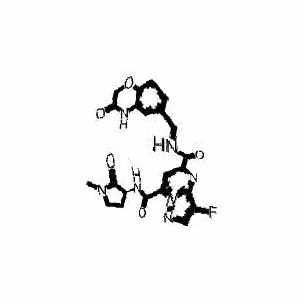 CN1CC[C@H](NC(=O)c2cc(C(=O)NCc3ccc4c(c3)NC(=O)CO4)nc3c(F)cnn23)C1=O